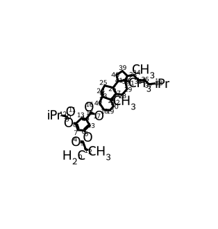 C=C(C)C(=O)Oc1cc(OC(=O)C(C)C)cc(C(=O)OC2CCC3(C)C(=CCC4C3CCC3(C)C(C(C)CCCC(C)C)CCC43)C2)c1